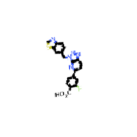 O=C(O)c1ccc(-c2ccc3nnn(Cc4ccc5ncsc5c4)c3n2)cc1F